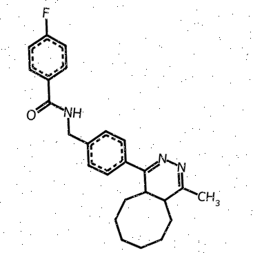 CC1=NN=C(c2ccc(CNC(=O)c3ccc(F)cc3)cc2)C2CCCCCCC12